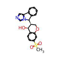 CS(=O)(=O)c1ccc2c(c1)OC[C@H](C1c3ccccc3-c3cncn31)[C@@H]2O